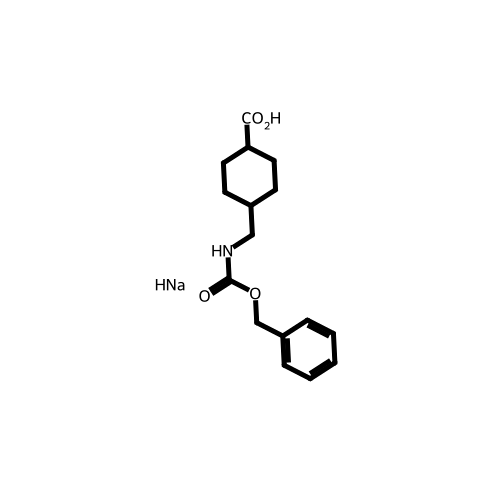 O=C(NCC1CCC(C(=O)O)CC1)OCc1ccccc1.[NaH]